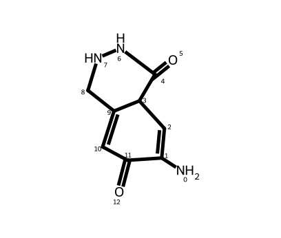 NC1=CC2C(=O)NNCC2=CC1=O